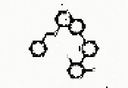 Fc1cccc(F)c1-c1cccc(-c2ccc3nccc(OCc4ccccc4)c3c2)n1